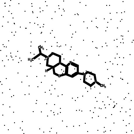 CC(C)N1CCN2c3ncc(N4CCN(C)CC4)cc3OC[C@@H]2C1